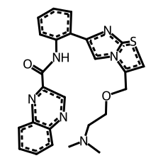 CN(C)CCOCc1csc2nc(-c3ccccc3NC(=O)c3cnc4ccccc4n3)cn12